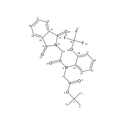 CC(C)(C)OC(=O)CN(C(=O)CN1C(=O)c2ccccc2C1=O)c1ccccc1OC(F)(F)F